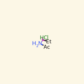 CC(N)=O.CCI.Cl